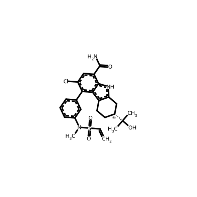 C=CS(=O)(=O)N(C)c1cccc(-c2c(Cl)cc(C(N)=O)c3[nH]c4c(c23)CC[C@@H](C(C)(C)O)C4)c1